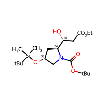 CCOC(=O)C[C@@H](O)[C@@H]1C[C@@H](O[Si](C)(C)C(C)(C)C)CN1C(=O)OC(C)(C)C